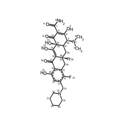 CN(C)[C@@H]1C(O)=C(C(N)=O)C(=O)[C@@]2(O)C(O)=C3C(=O)c4c(O)cc(CN5CCCCC5)c(F)c4C[C@H]3CC12